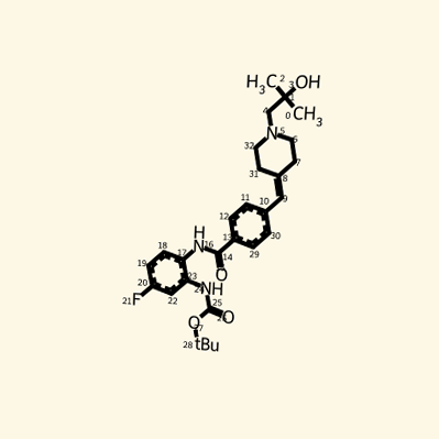 CC(C)(O)CN1CCC(=Cc2ccc(C(=O)Nc3ccc(F)cc3NC(=O)OC(C)(C)C)cc2)CC1